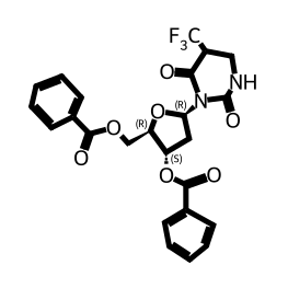 O=C(OC[C@H]1O[C@@H](N2C(=O)NCC(C(F)(F)F)C2=O)C[C@@H]1OC(=O)c1ccccc1)c1ccccc1